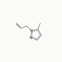 C=CCn1nc[c]c1C